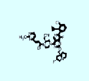 Cc1nccc(/C=C/C(=O)N2CCN(c3nc(OC[C@@]45CCCN4C[C@H](F)C5)nc4c(F)c(-c5cccc(Cl)c5C5CC5)ncc34)C[C@@H]2CC#N)n1